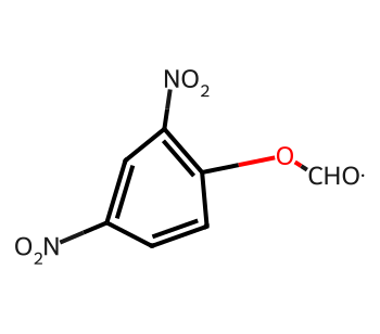 O=[C]Oc1ccc([N+](=O)[O-])cc1[N+](=O)[O-]